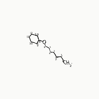 [CH2]CCCCCCOC1[CH]CCCC1